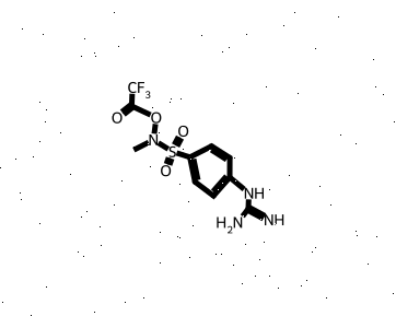 CN(OC(=O)C(F)(F)F)S(=O)(=O)c1ccc(NC(=N)N)cc1